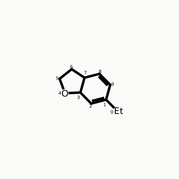 CCC1=CC2OCCC2C=C1